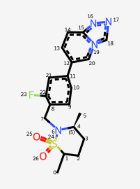 CC1CC[C@H](C)N(Cc2ccc(-c3ccc4nncn4c3)cc2F)S1(=O)=O